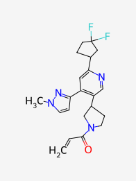 C=CC(=O)N1CCC(c2cnc(C3CCC(F)(F)C3)cc2-c2ccn(C)n2)C1